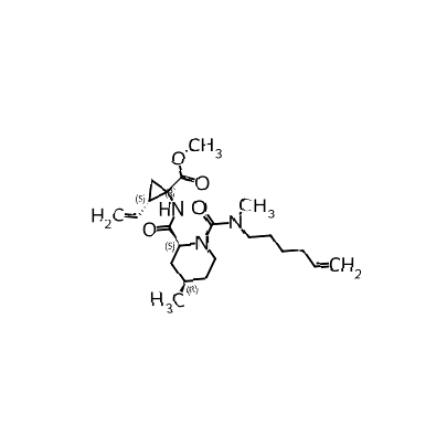 C=CCCCCN(C)C(=O)N1CC[C@@H](C)C[C@H]1C(=O)N[C@]1(C(=O)OC)C[C@H]1C=C